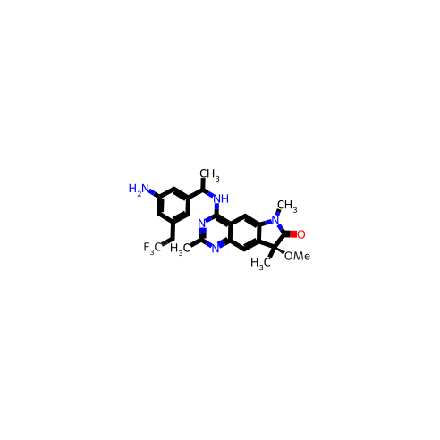 CO[C@]1(C)C(=O)N(C)c2cc3c(NC(C)c4cc(N)cc(CC(F)(F)F)c4)nc(C)nc3cc21